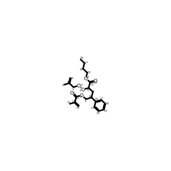 C=C(C)COOC(CC(COC(=O)C(=C)C)c1ccccc1)C(=O)OCCCC